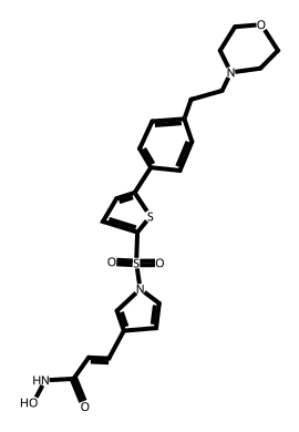 O=C(C=Cc1ccn(S(=O)(=O)c2ccc(-c3ccc(CCN4CCOCC4)cc3)s2)c1)NO